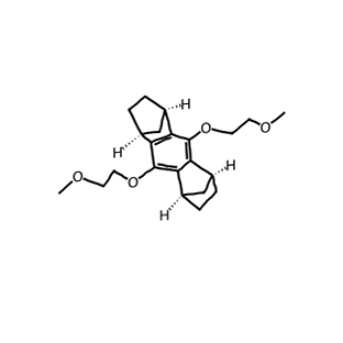 COCCOc1c2c(c(OCCOC)c3c1[C@H]1CC[C@@H]3C1)[C@H]1CC[C@@H]2C1